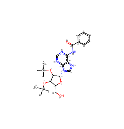 CC(C)(C)[Si](C)(C)OC1C(O[Si](C)(C)C(C)(C)C)[C@@H](CO)O[C@H]1n1cnc2c(NC(=O)c3ccccc3)ncnc21